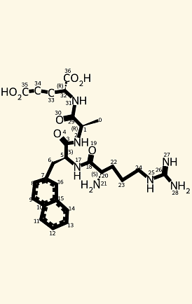 C[C@@H](NC(=O)[C@H](Cc1ccc2ccccc2c1)NC(=O)[C@@H](N)CCCNC(=N)N)C(=O)N[C@H](CCC(=O)O)C(=O)O